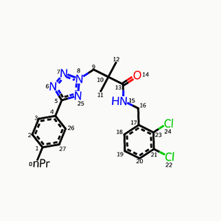 CCCc1ccc(-c2nnn(CC(C)(C)C(=O)NCc3cccc(Cl)c3Cl)n2)cc1